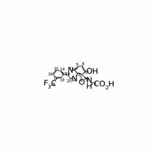 O=C(O)CNC(=O)c1c(O)ccc2nc(-c3cccc(C(F)(F)F)c3)cnc12